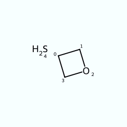 C1COC1.S